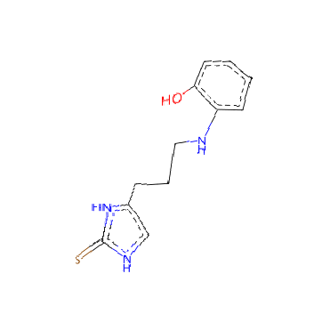 Oc1ccccc1NCCCc1c[nH]c(=S)[nH]1